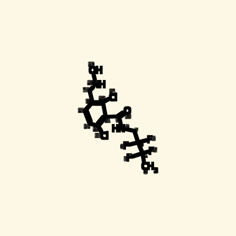 CC(F)(F)C(F)(F)CNC(=O)c1c(Cl)ccc(CNO)c1Cl